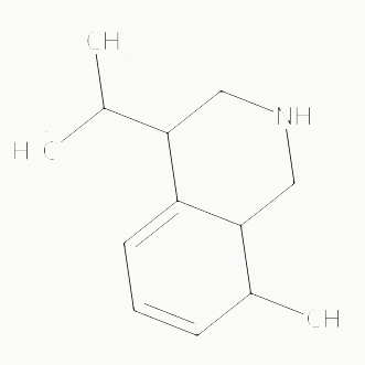 CC(C)C1CNCC2C1=CC=CC2C